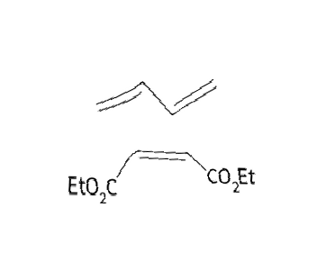 C=CC=C.CCOC(=O)/C=C\C(=O)OCC